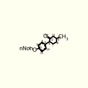 CCCCCCCCCOc1ccc(C2CCC(C)CC2=O)cc1